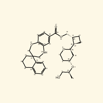 C[C@@H](CO)O[C@@H]1CCO[C@@H]([C@@H]2CC[C@H]2COC(=O)c2ccc3c(c2)NCC2(CCCc4ccccc42)CO3)C1